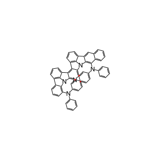 c1ccc(N(c2ccccc2)c2c3ccccc3cc3c4cccc5c6c7c8cccc9c%10cccc(N(c%11ccccc%11)c%11ccccc%11)c%10n(c7ncc6n(c23)c45)c98)cc1